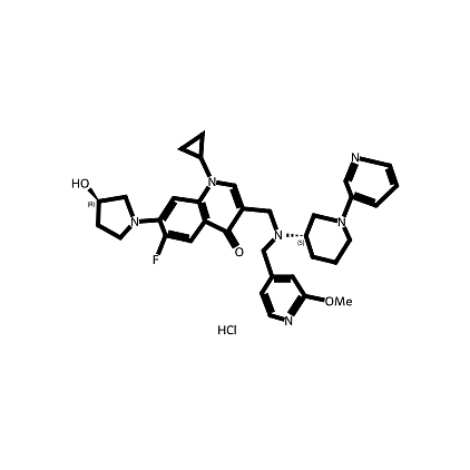 COc1cc(CN(Cc2cn(C3CC3)c3cc(N4CC[C@@H](O)C4)c(F)cc3c2=O)[C@H]2CCCN(c3cccnc3)C2)ccn1.Cl